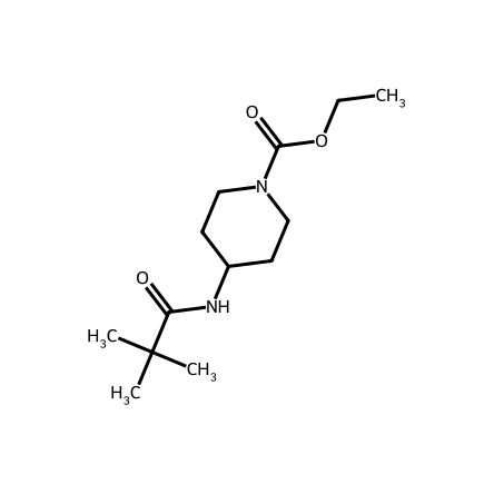 CCOC(=O)N1CCC(NC(=O)C(C)(C)C)CC1